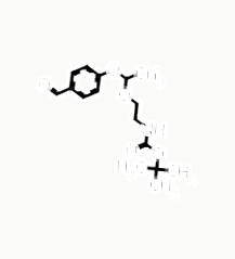 CC(OCCNC(=O)OC(C)(C)C)Oc1ccc(C=O)cc1